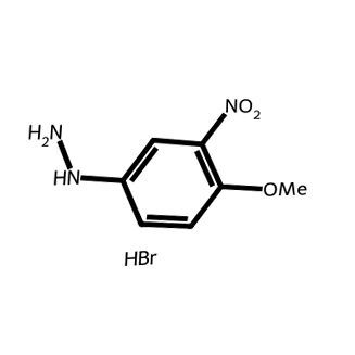 Br.COc1ccc(NN)cc1[N+](=O)[O-]